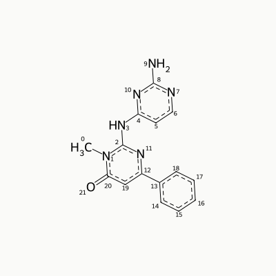 Cn1c(Nc2ccnc(N)n2)nc(-c2ccccc2)cc1=O